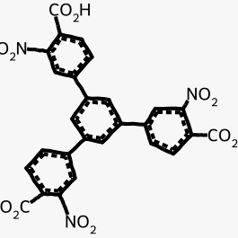 O=C(O)c1ccc(-c2cc(-c3ccc(C(=O)O)c([N+](=O)[O-])c3)cc(-c3ccc(C(=O)O)c([N+](=O)[O-])c3)c2)cc1[N+](=O)[O-]